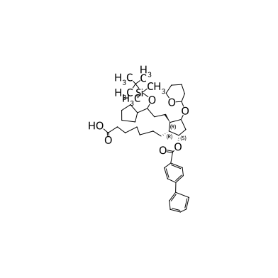 CC(C)(C)[Si](C)(C)OC(CC[C@H]1C(OC2CCCCO2)C[C@H](OC(=O)c2ccc(-c3ccccc3)cc2)[C@@H]1CCCCCCC(=O)O)C1CCCC1